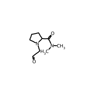 CN(C)C(=O)C1CCCN1CC=O